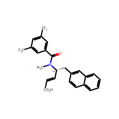 CN(C(=O)c1cc(C(F)(F)F)cc(C(F)(F)F)c1)[C@@H](C=CC(=O)O)Cc1ccc2ccccc2c1